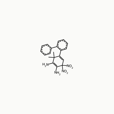 CC1(C)C(c2ccccc2-c2ccccc2)=CC([N+](=O)[O-])([N+](=O)[O-])C(N)=C1N